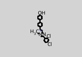 CCn1cc(-c2ccc(Cl)cc2Cl)nc1/C=C/c1ccc(-c2ccc(O)cc2)cc1